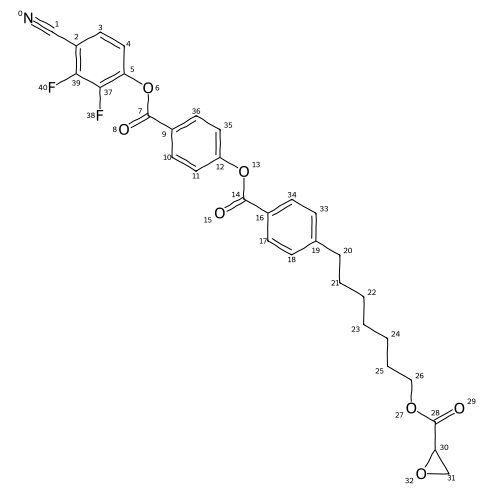 N#Cc1ccc(OC(=O)c2ccc(OC(=O)c3ccc(CCCCCCCOC(=O)C4CO4)cc3)cc2)c(F)c1F